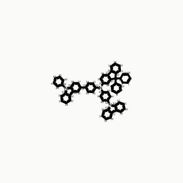 C1=CCC(C2(c3ccccc3)c3ccccc3-c3ccc(N(c4ccc(-c5ccc6c(c5)c5ccccc5n6-c5ccccc5)cc4)c4ccc(-n5c6ccccc6c6ccccc65)cc4)cc32)C=C1